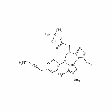 Cc1sc2c(c1C)C(c1ccc(CC#CCN)cc1)=NC(CC(=O)OC(C)(C)C)c1nnc(C)n1-2